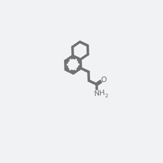 NC(=O)CCc1cccc2c1CCCC2